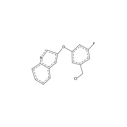 Fc1cc(CCl)cc(Oc2cnc3ccccc3c2)c1